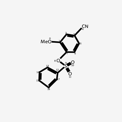 COc1cc(C#N)ccc1OS(=O)(=O)c1ccccc1